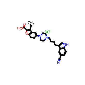 CCc1c(C(=O)O)oc2ccc(N3CCN(CCCCc4c[nH]c5ccc(C#N)cc45)CC3)cc12.Cl